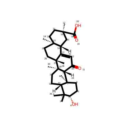 CC1(C)[C@@H](O)CC[C@]2(C)[C@H]3C(=O)C=C4[C@H]5C[C@](C)(C(=O)O)CC[C@]5(C)CC[C@@]4(C)[C@]3(C)CC[C@@H]12